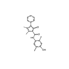 Cc1c(C(=O)Nc2cc(F)c(O)cc2F)c(=O)n(-c2ccccc2)n1C